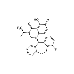 C[C@H](N1CN([C@@H]2c3ccccc3SCc3c(F)cccc32)n2ccc(=O)c(O)c2C1=O)C(F)(F)F